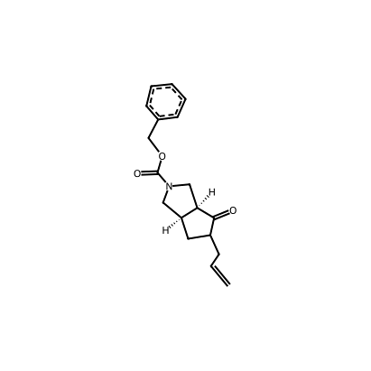 C=CCC1C[C@H]2CN(C(=O)OCc3ccccc3)C[C@H]2C1=O